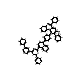 c1ccc(-c2cccc(-c3cc(-c4ccccc4)nc(-c4ccc(-c5ccc(-c6c7c(cc8c(-c9ccccc9)nc9ccccc9c68)oc6ccccc67)cc5)c5ccccc45)n3)c2)cc1